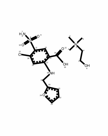 C[N+](C)(C)CCO.NS(=O)(=O)c1cc(C(=O)O)c(NCc2ccco2)cc1Cl